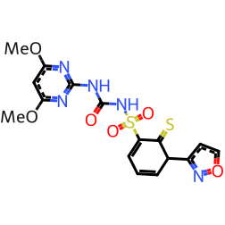 COc1cc(OC)nc(NC(=O)NS(=O)(=O)C2=CC=CC(c3ccon3)C2=S)n1